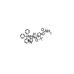 Cn1ncc(NC(=O)N2CC[C@H](OC(N)=O)C2C(C)(C)C)c1NC(c1ccccc1)(c1ccccc1)c1ccccc1